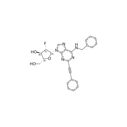 OC[C@H]1O[C@@H](n2cnc3c(NCc4ccccc4)nc(C#Cc4ccccc4)nc32)[C@@H](F)[C@@H]1O